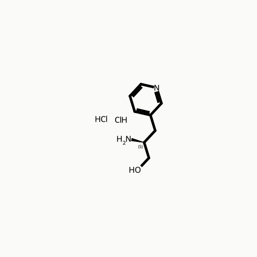 Cl.Cl.N[C@H](CO)Cc1cccnc1